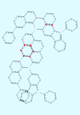 c1ccc(-c2ccc3ccc(-c4ccccc4)c(N(c4ccc5c(c4)c4ccccc4n5-c4ccccc4)c4ccc5ccc6c(N(c7ccc8c(c7)c7ccccc7n8-c7ccccc7)c7c(-c8ccccc8)ccc8ccc(-c9ccccc9)cc78)ccc7ccc4c5c76)c3c2)cc1